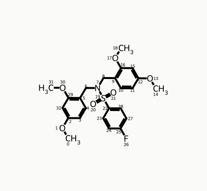 COc1ccc(CN(Cc2ccc(OC)cc2OC)S(=O)(=O)c2ccc(F)cc2)c(OC)c1